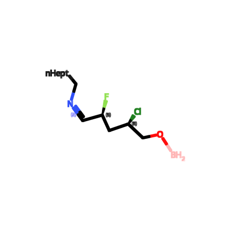 BOC[C@H](Cl)C[C@H](F)/C=N\CCCCCCCC